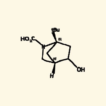 CC(C)(C)[C@]12CC(O)[C@H](CN1C(=O)O)C2